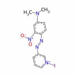 CN(C)c1ccc(N=Nc2ccc[n+](I)c2)c([N+](=O)[O-])c1